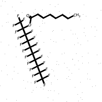 CCCCCCCC(=O)OC(F)(C(F)(F)F)C(F)(F)C(F)(F)C(F)(F)C(F)(F)C(F)(F)C(F)(F)C(F)(F)C(F)(F)F